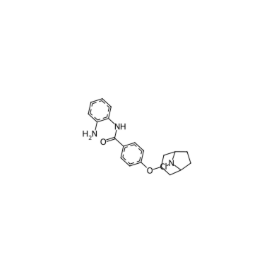 Nc1ccccc1NC(=O)c1ccc(OC2CC3CCC(C2)N3Cl)cc1